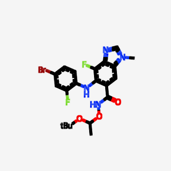 CC(ONC(=O)c1cc2c(ncn2C)c(F)c1Nc1ccc(Br)cc1F)OC(C)(C)C